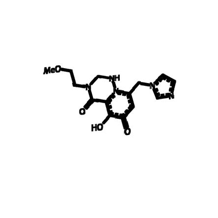 COCCN1CNn2c(Cn3ccnc3)cc(=O)c(O)c2C1=O